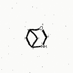 C1NC2CC(C2)O1